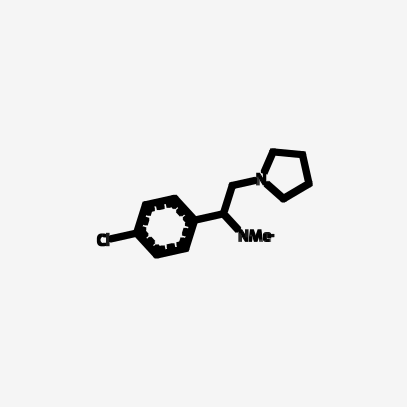 C[N]C(CN1CCCC1)c1ccc(Cl)cc1